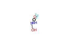 OCCC/C=N\Nc1ccc(OC(F)(F)F)cc1